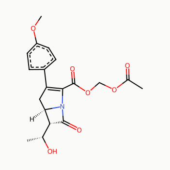 COc1ccc(C2=C(C(=O)OCOC(C)=O)N3C(=O)[C@H]([C@@H](C)O)[C@H]3C2)cc1